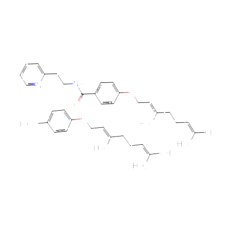 CC(C)=CCC/C(C)=C/COc1ccc(C(=O)NCCc2ccccn2)cc1.CC(C)=CCC/C(C)=C/COc1ccc(C(=O)O)cc1